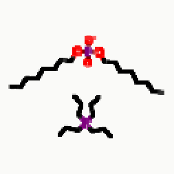 CCCCCCCCOP(=O)([O-])OCCCCCCCC.CCC[P+](CCC)(CCC)CCC